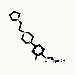 Cc1cc(N2CCN(CCN3CCCC3)CC2)ccc1N/C=N/O